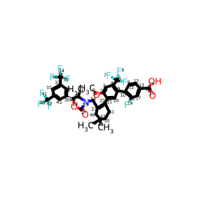 COc1cc(C(F)(F)F)c(-c2ccc(C(=O)O)cc2F)cc1C1=C(CN2C(=O)O[C@H](c3cc(C(F)(F)F)cc(C(F)(F)F)c3)C2C)CC(C)(C)CC1